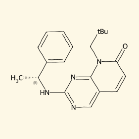 C[C@@H](Nc1ncc2ccc(=O)n(CC(C)(C)C)c2n1)c1ccccc1